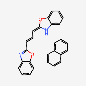 C(=Cc1nc2ccccc2o1)C=C1Nc2ccccc2O1.c1ccc2ccccc2c1